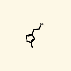 Cc1cc(CCN)cs1